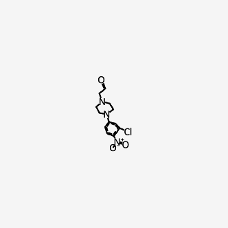 O=CCN1CCN(c2ccc([N+](=O)[O-])c(Cl)c2)CC1